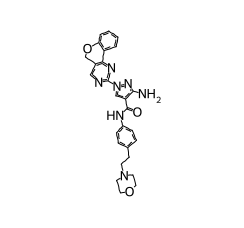 Nc1nn(-c2ncc3c(n2)-c2ccccc2OC3)cc1C(=O)Nc1ccc(CCN2CCOCC2)cc1